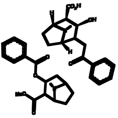 CN1[C@@H]2CC[C@H]1C(CC(=O)c1ccccc1)[C@H](O)[C@@H]2C(=O)O.COC(=O)C1C(OC(=O)c2ccccc2)CC2CCC1N2C